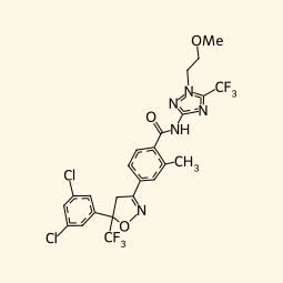 COCCn1nc(NC(=O)c2ccc(C3=NOC(c4cc(Cl)cc(Cl)c4)(C(F)(F)F)C3)cc2C)nc1C(F)(F)F